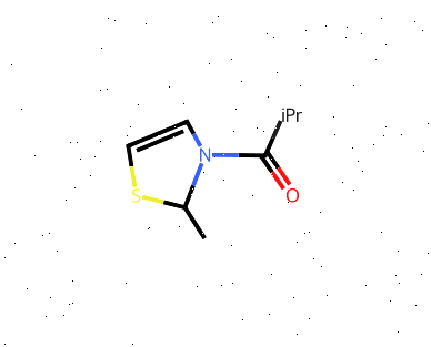 CC(C)C(=O)N1C=CSC1C